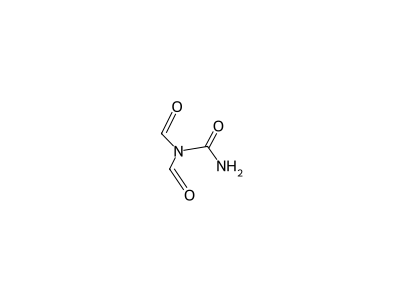 NC(=O)N(C=O)C=O